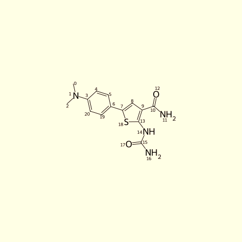 CN(C)c1ccc(-c2cc(C(N)=O)c(NC(N)=O)s2)cc1